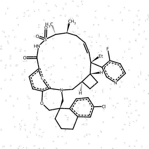 CC[C@]1(c2cnccc2F)/C=C/C[C@H](C)[C@@H](C)S(=O)(=O)NC(=O)c2ccc3c(c2)N(C[C@@H]2CC[C@H]21)C[C@@]1(CCCc2cc(Cl)ccc21)CO3